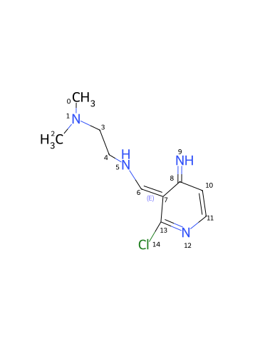 CN(C)CCN/C=C1\C(=N)C=CN=C1Cl